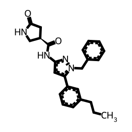 CCCc1cccc(-c2cc(NC(=O)[C@H]3CNC(=O)C3)nn2Cc2ccccc2)c1